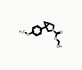 COc1ccc(C23CC2CN(C(=O)OCO)C3)cc1